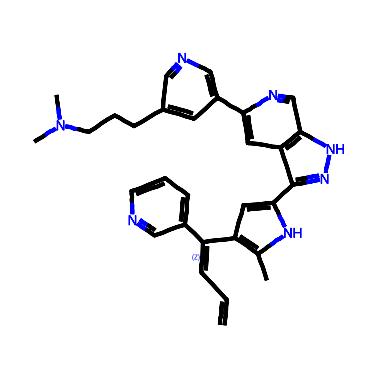 C=C/C=C(/c1cccnc1)c1cc(-c2n[nH]c3cnc(-c4cncc(CCCN(C)C)c4)cc23)[nH]c1C